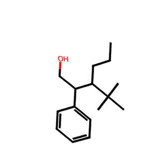 CCCC(C(CO)c1ccccc1)C(C)(C)C